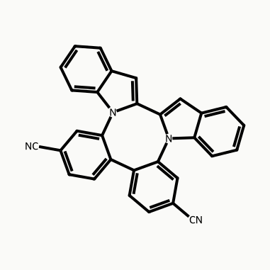 N#Cc1ccc2c3ccc(C#N)cc3n3c4ccccc4cc3c3cc4ccccc4n3c2c1